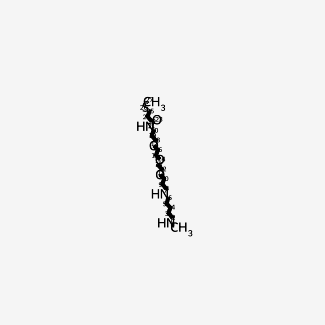 CNCCCCCNCCCOCCOCCOCCCNC(=O)CCSC